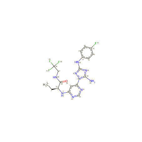 CC[C@H](Nc1cc(-n2nc(Nc3ccc(F)cc3)nc2N)ncn1)C(=O)NCC(F)(F)F